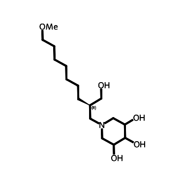 COCCCCCCC[C@@H](CO)CN1CC(O)C(O)C(O)C1